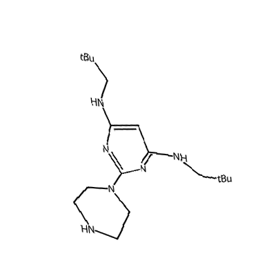 CC(C)(C)CNc1cc(NCC(C)(C)C)nc(N2CCNCC2)n1